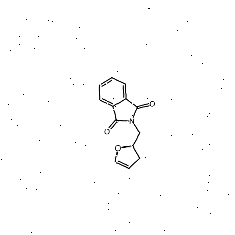 O=C1c2ccccc2C(=O)N1CC1CC=CO1